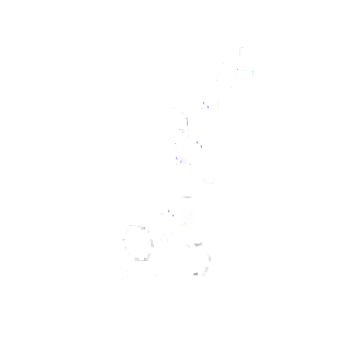 C=C(CCN(Cc1ccc(Cl)c(F)c1)S(=O)(=O)c1ccccc1)C1=NC(C)(C)[C@@H](C(=O)NCC2CC(F)(F)C2)N1